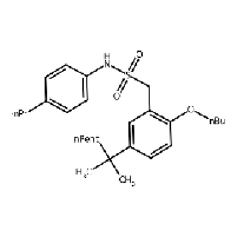 CC[CH]c1ccc(NS(=O)(=O)Cc2cc(C(C)(C)CCCCC)ccc2OCCCC)cc1